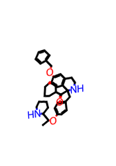 CC(Oc1ccc(CC2(C(=O)C3CCCCC3)NCCc3cc(OCc4ccccc4)ccc32)cc1)C1CCCCN1